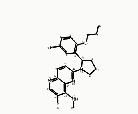 CCCOc1ccc(F)cc1[C@H]1CCCN1c1ccc2ncc(F)c(NC)c2n1